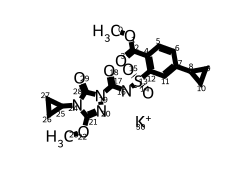 COC(=O)c1ccc(C2CC2)cc1S(=O)(=O)[N-]C(=O)n1nc(OC)n(C2CC2)c1=O.[K+]